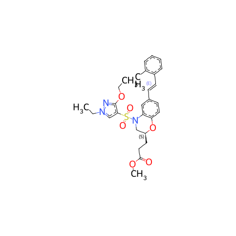 CCOc1nn(CC)cc1S(=O)(=O)N1C[C@H](CCC(=O)OC)Oc2ccc(/C=C/c3ccccc3C)cc21